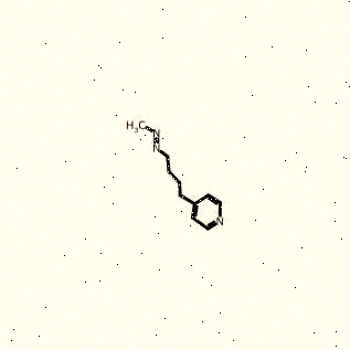 CN=NCCCCc1ccncc1